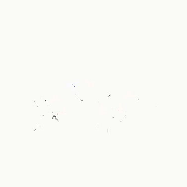 CC(C)(C)OC(=O)C[C@H](CC[C@H](NC(=O)Cc1cccs1)B1O[C@@H]2C[C@@H]3C[C@@H](C3(C)C)[C@]2(C)O1)O[Si](C)(C)C(C)(C)C